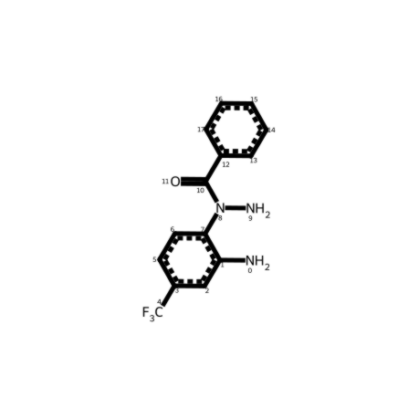 Nc1cc(C(F)(F)F)ccc1N(N)C(=O)c1ccccc1